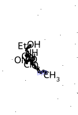 C/C=C\C=C/CCOCc1onc(C(=O)NCC(CC)CO)c1C(C)N=O